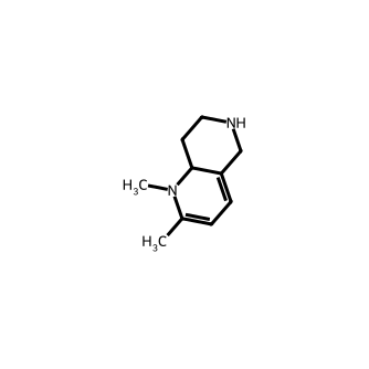 CC1=CC=C2CNCCC2N1C